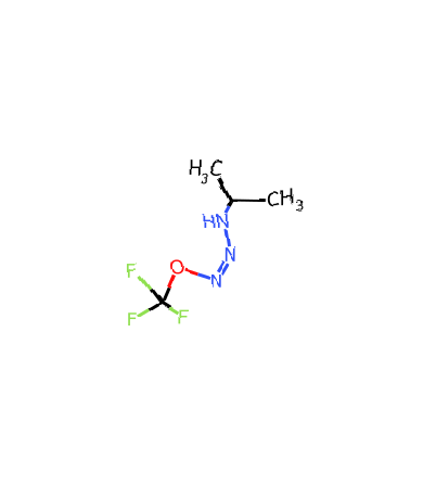 CC(C)N/N=N\OC(F)(F)F